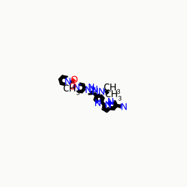 CC(C)Nc1cc(-c2ccc3cc(C#N)cnn23)ncc1-c1cn(C2CCN(OC(=O)N3CCCCC3C)CC2)nn1